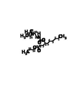 CCCCCCC(CCC(=O)OCCC)OC(=O)NCCN(C)CC